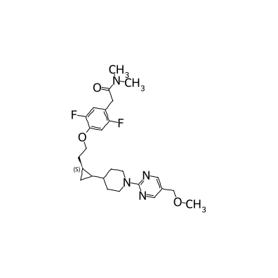 COCc1cnc(N2CCC(C3C[C@H]3CCOc3cc(F)c(CC(=O)N(C)C)cc3F)CC2)nc1